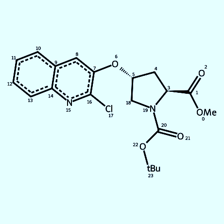 COC(=O)[C@@H]1C[C@@H](Oc2cc3ccccc3nc2Cl)CN1C(=O)OC(C)(C)C